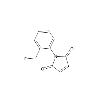 O=C1C=CC(=O)N1c1ccccc1CF